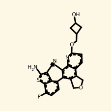 N#Cc1c(N)sc2c(F)ccc(-c3c4c(c5ccc(OCC6CC(O)C6)nc5c3Cl)COC4)c12